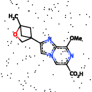 COc1nc(C(=O)O)cn2cc(C34COC(C)(C3)C4)nc12